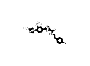 COC1C=C(c2nnc(C(=O)NCCc3ccc(Br)cc3)o2)C=CC1n1cnc(C)c1